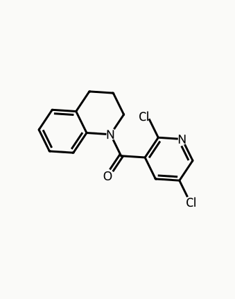 O=C(c1cc(Cl)cnc1Cl)N1CCCc2ccccc21